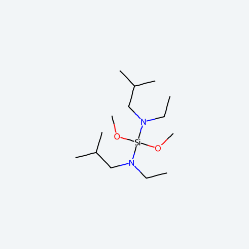 CCN(CC(C)C)[Si](OC)(OC)N(CC)CC(C)C